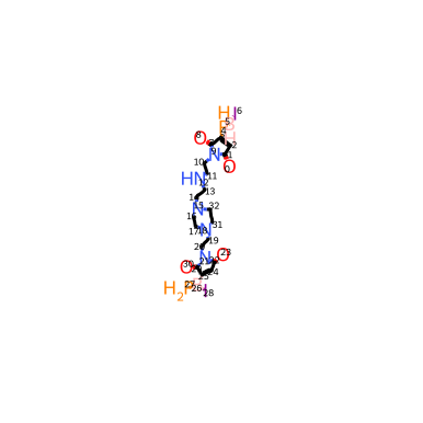 O=C1C=C(PBI)C(=O)N1CCNCCN1CCN(CCN2C(=O)C=C(B(P)I)C2=O)CC1